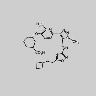 Cc1nc(-c2nnn(C)c2CNc2noc(CCC3CCC3)n2)ccc1O[C@H]1CCC[C@H](C(=O)O)C1